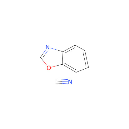 C#N.c1ccc2ocnc2c1